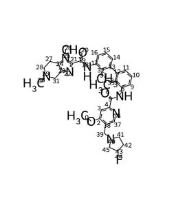 COc1cc(C(=O)Nc2cccc(-c3cccc(NC(=O)c4nc5c(n4C)CCN(C)C5)c3C)c2C)ncc1CN1CCC(F)C1